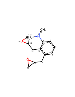 CN(C)c1cccc(CC2CO2)c1CC1CO1